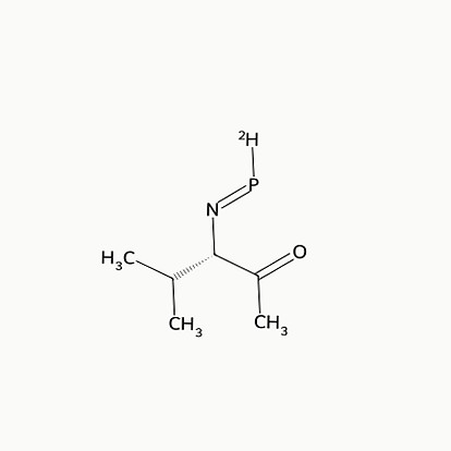 [2H]/P=N/[C@H](C(C)=O)C(C)C